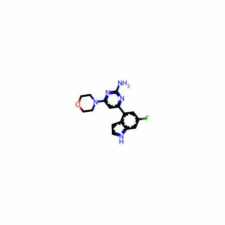 Nc1nc(-c2cc(F)cc3[nH]ccc23)cc(N2CCOCC2)n1